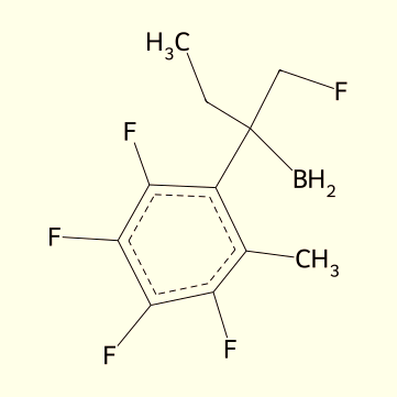 BC(CC)(CF)c1c(C)c(F)c(F)c(F)c1F